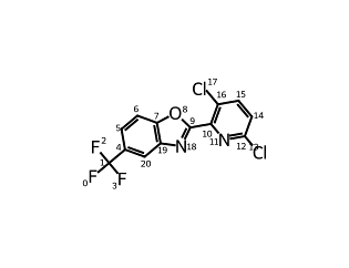 FC(F)(F)c1ccc2oc(-c3nc(Cl)ccc3Cl)nc2c1